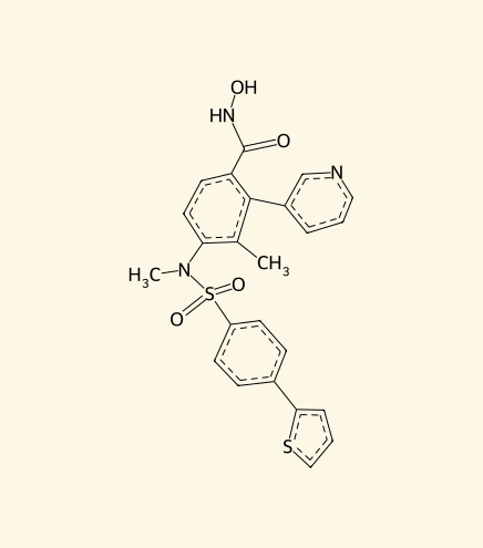 Cc1c(N(C)S(=O)(=O)c2ccc(-c3cccs3)cc2)ccc(C(=O)NO)c1-c1cccnc1